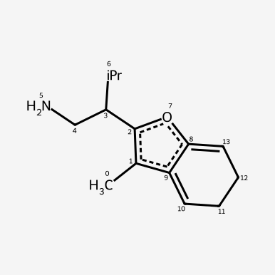 Cc1c(C(CN)C(C)C)oc2c1=CCCC=2